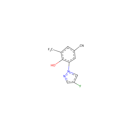 N#Cc1cc(-n2cc(F)cn2)c(O)c(C(F)(F)F)c1